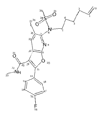 C=CCCCCN(c1nc2oc(-c3ccc(F)cc3)c(C(=O)NC)c2cc1I)S(C)(=O)=O